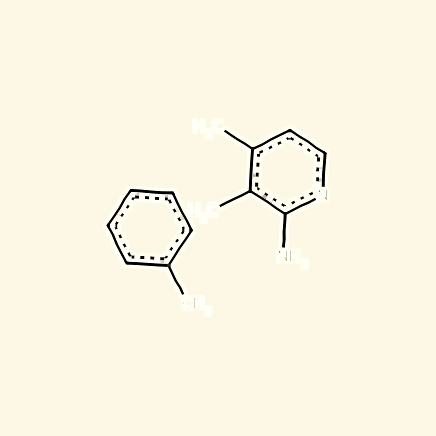 Cc1ccccc1.Cc1ccnc(N)c1C